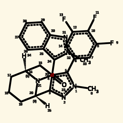 Cn1nc2c(c1-c1cc(F)c(F)c(F)c1)C[C@@H]1CCC[C@H]2N1C(=O)c1c2ccccc2nn1C